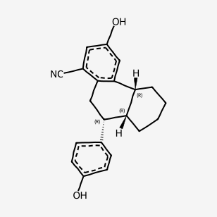 N#Cc1cc(O)cc2c1C[C@@H](c1ccc(O)cc1)[C@H]1CCCC[C@@H]21